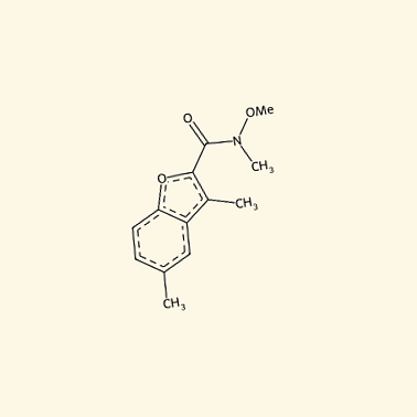 CON(C)C(=O)c1oc2ccc(C)cc2c1C